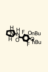 CCCCOc1c(F)cc(C(=O)N[C@H]2C[C@H]3CC[C@@H](C2)N3C)c(F)c1OCCCC